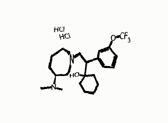 CN(C)[C@H]1CCCN(CC(c2cccc(OC(F)(F)F)c2)C2(O)CCCCC2)C1.Cl.Cl